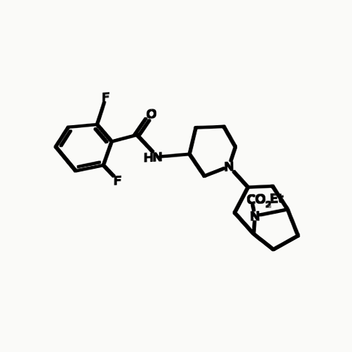 CCOC(=O)N1C2CCC1CC(N1CCCC(NC(=O)c3c(F)cccc3F)C1)C2